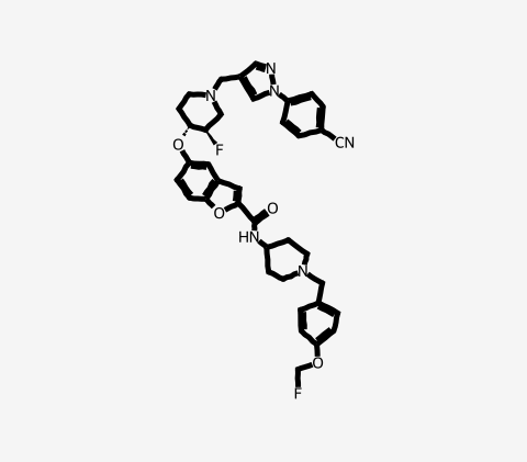 N#Cc1ccc(-n2cc(CN3CC[C@@H](Oc4ccc5oc(C(=O)NC6CCN(Cc7ccc(OCF)cc7)CC6)cc5c4)[C@H](F)C3)cn2)cc1